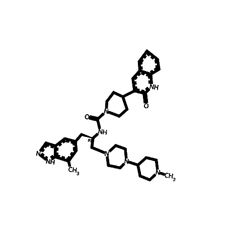 Cc1cc(C[C@H](CN2CCN(C3CCN(C)CC3)CC2)NC(=O)N2CCC(c3cc4ccccc4[nH]c3=O)CC2)cc2cn[nH]c12